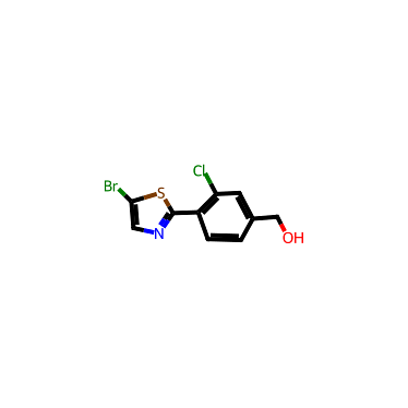 OCc1ccc(-c2ncc(Br)s2)c(Cl)c1